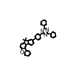 CC1(C)c2cc(-c3ccc(-c4nc(-c5ccccc5)nc(-c5ccccc5)n4)cc3)ccc2-c2c1ccc1oc3ccccc3c21